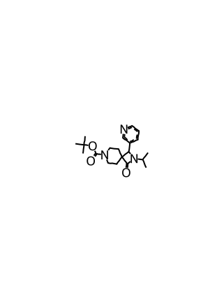 CC(C)N1C(=O)C2(CCN(C(=O)OC(C)(C)C)CC2)C1c1cccnc1